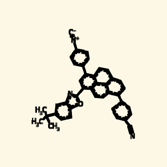 [C-]#[N+]c1ccc(-c2cc(-c3nc4cc(C(C)(C)C)ccc4o3)c3ccc4c(-c5ccc(C#N)cc5)ccc5ccc2c3c54)cc1